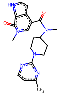 CN(C(=O)c1cn(C)c(=O)c2[nH]ccc12)C1CCN(c2nccc(C(F)(F)F)n2)CC1